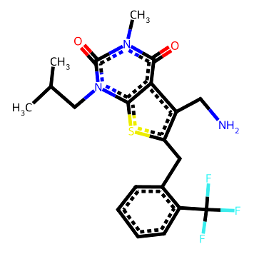 CC(C)Cn1c(=O)n(C)c(=O)c2c(CN)c(Cc3ccccc3C(F)(F)F)sc21